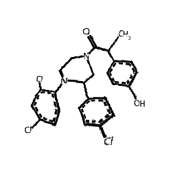 CC(C(=O)N1CCN(c2ccc(Cl)cc2Cl)C(c2ccc(Cl)cc2)C1)c1ccc(O)cc1